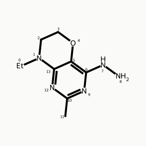 CCN1CCOc2c(NN)nc(C)nc21